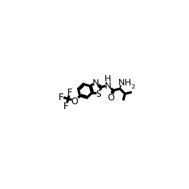 CC(C)[C@H](N)C(=O)Nc1nc2ccc(OC(F)(F)F)cc2s1